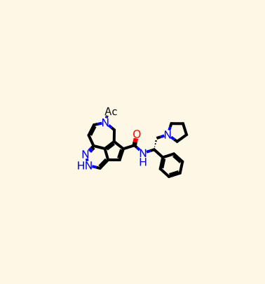 CC(=O)N1C=Cc2n[nH]cc3cc(C(=O)N[C@H](CN4CCCC4)c4ccccc4)c(c2-3)C1